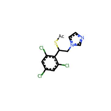 CC(=O)SC(Cn1ccnc1)c1c(Cl)cc(Cl)cc1Cl